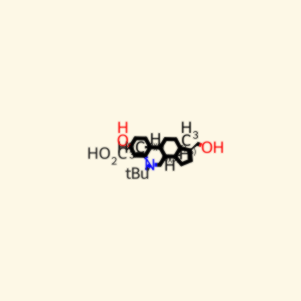 CC(C)(C)N1C[C@H]2[C@@H]3CC[C@H](CO)[C@@]3(C)CC[C@@H]2[C@@]2(C)CC[C@@](O)(C(=O)O)C=C12